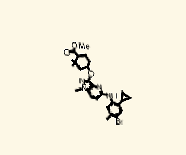 COC(=O)C1CCC(Oc2nn(C)c3ccc(Nc4cc(C)c(Br)cc4C4CC4)nc23)CC1(C)C